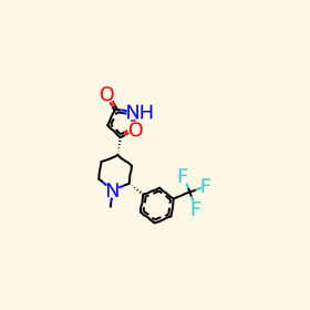 CN1CC[C@H](c2cc(=O)[nH]o2)C[C@@H]1c1cccc(C(F)(F)F)c1